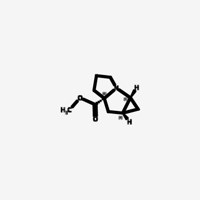 COC(=O)[C@]12CCCN1[C@@H]1C[C@@H]1C2